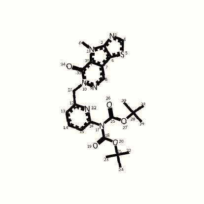 Cn1c2ncsc2c2cnn(Cc3cccc(N(C(=O)OC(C)(C)C)C(=O)OC(C)(C)C)n3)c(=O)c21